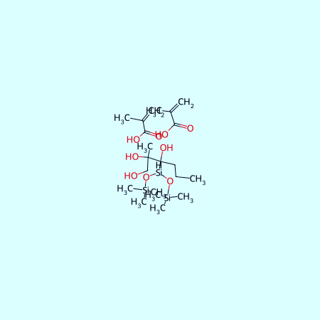 C=C(C)C(=O)O.C=C(C)C(=O)O.CCCC(O)([SiH](O[Si](C)(C)C)O[Si](C)(C)C)C(C)(O)CO